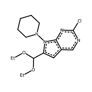 CCOC(OCC)c1cc2cnc(Cl)nc2n1N1CCCCC1